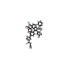 CC(CC#N)n1cc(-c2ccc(-c3c(-c4cnn(C)c4)n([S+]([O-])c4ccccc4)c4ncc5c(c34)C3(CCCC3)C(=O)N5C)cc2)cn1